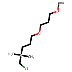 CCCCOCCCOCCC[Si](C)(C)CCl